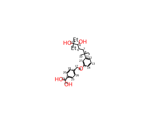 CCC(O)(CC)C(O)CCC(C)(C)c1cccc(OCc2ccc(C(O)O)cc2)c1